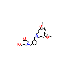 CCO[SiH2]CCCN(CCC[SiH2]OCC)CC1CCCC(CN(CCCO)CC2CO2)C1